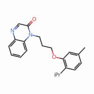 Cc1ccc(C(C)C)c(OCCCn2c(=O)cnc3ccccc32)c1